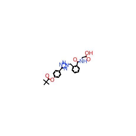 CC(C)(C)C(=O)Oc1ccc(-c2nnn(Cc3ccccc3C(=O)NCC(=O)O)n2)cc1